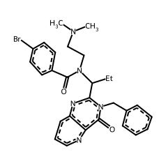 CCC(c1nc2cccnc2c(=O)n1Cc1ccccc1)N(CCN(C)C)C(=O)c1ccc(Br)cc1